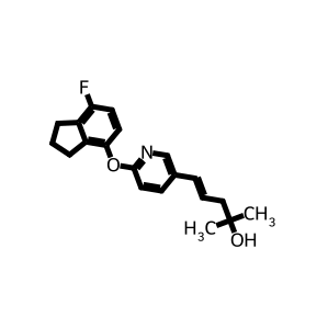 CC(C)(O)C/C=C/c1ccc(Oc2ccc(F)c3c2CCC3)nc1